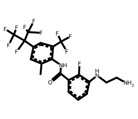 Cc1cc(C(F)(C(F)(F)F)C(F)(F)F)cc(C(F)(F)F)c1NC(=O)c1cccc(NCCN)c1F